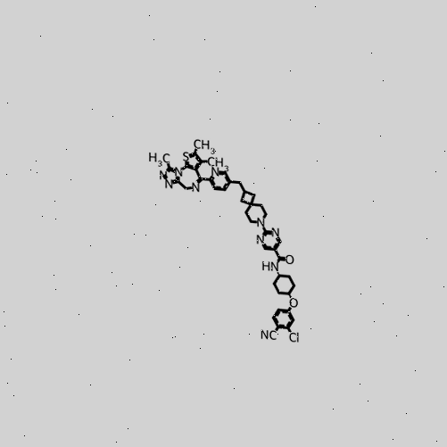 Cc1sc2c(c1C)C(c1ccc(CC3CC4(CCN(c5ncc(C(=O)N[C@H]6CC[C@H](Oc7ccc(C#N)c(Cl)c7)CC6)cn5)CC4)C3)cn1)=NCc1nnc(C)n1-2